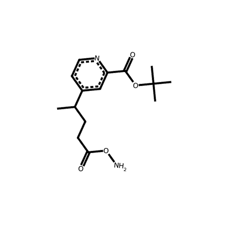 CC(CCC(=O)ON)c1ccnc(C(=O)OC(C)(C)C)c1